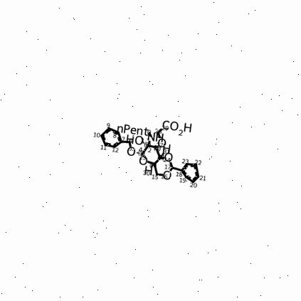 CCCCCN[C@]1(O)[C@@H](OCc2ccccc2)O[C@@H]2COC(c3ccccc3)O[C@H]2[C@@H]1OCC(=O)O